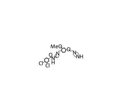 COc1cc(OCCN2CCNCC2)ccc1CN1CC[C@H](NC(=O)c2ccc(Cl)c(Cl)c2)C1